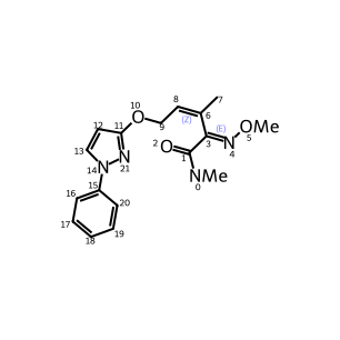 CNC(=O)C(=N/OC)/C(C)=C\COc1ccn(-c2ccccc2)n1